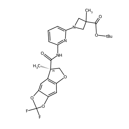 CC(C)(C)OC(=O)C1(C)CN(c2cccc(NC(=O)[C@@]3(C)COc4cc5c(cc43)OC(F)(F)O5)n2)C1